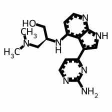 CN(C)C[C@@H](CO)Nc1ccnc2[nH]cc(-c3ccnc(N)n3)c12